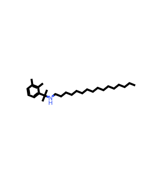 CCCCCCCCCCCCCCCCNC(C)(C)c1cccc(C)c1C